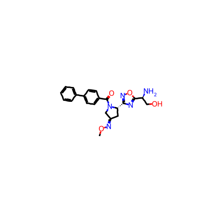 CON=C1C[C@@H](c2noc([C@@H](N)CO)n2)N(C(=O)c2ccc(-c3ccccc3)cc2)C1